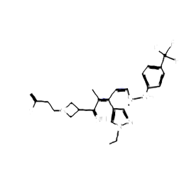 C=C(F)CCN1CC(C(=N)/C(C)=C(/C=C\N(C)Nc2ccc(C(F)(F)F)cc2)c2cnn(CC)c2)C1